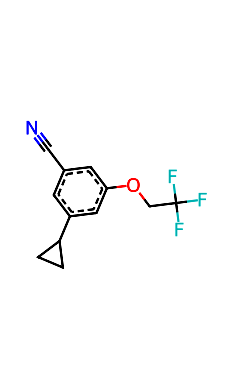 N#Cc1cc(OCC(F)(F)F)cc(C2CC2)c1